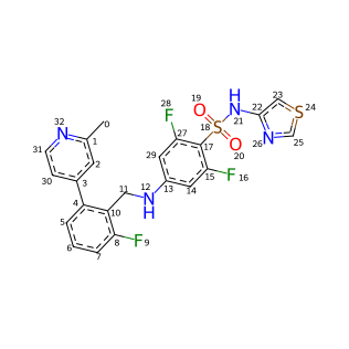 Cc1cc(-c2cccc(F)c2CNc2cc(F)c(S(=O)(=O)Nc3cscn3)c(F)c2)ccn1